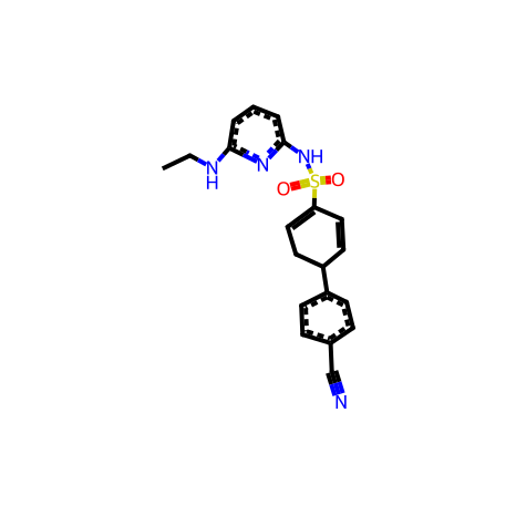 CCNc1cccc(NS(=O)(=O)C2=CCC(c3ccc(C#N)cc3)C=C2)n1